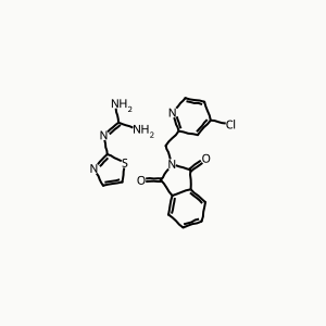 NC(N)=Nc1nccs1.O=C1c2ccccc2C(=O)N1Cc1cc(Cl)ccn1